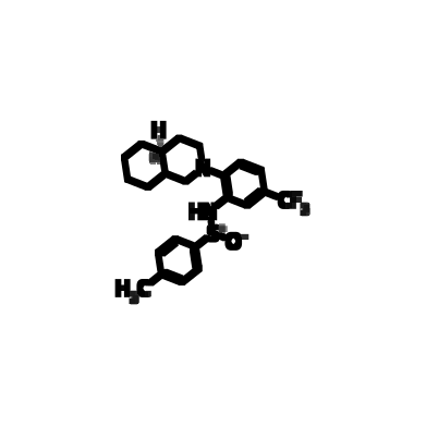 Cc1ccc([S+]([O-])Nc2cc(C(F)(F)F)ccc2N2CC[C@@H]3CCCCC3C2)cc1